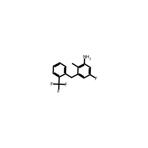 Cc1c(N)cc(F)cc1Cc1ccccc1C(F)(F)F